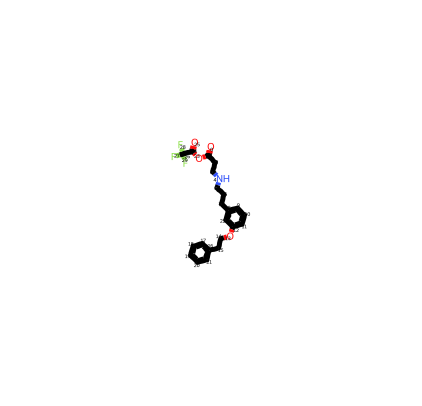 O=C(CCNCCCc1cccc(OCCc2ccccc2)c1)OC(=O)C(F)(F)F